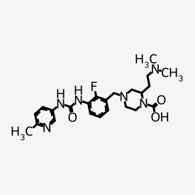 Cc1ccc(NC(=O)Nc2cccc(CN3CCN(C(=O)O)C(CCN(C)C)C3)c2F)cn1